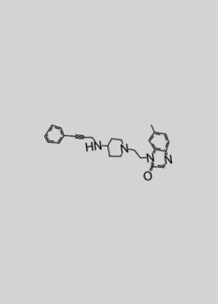 Cc1ccc2ncc(=O)n(CCN3CCC(NCC#Cc4ccccc4)CC3)c2c1